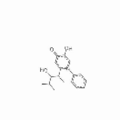 CC(C)C(O)C(C)c1cc(=O)c(O)cn1-c1ccccc1